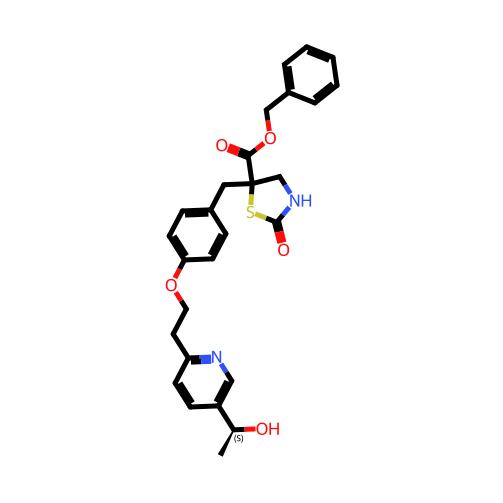 C[C@H](O)c1ccc(CCOc2ccc(CC3(C(=O)OCc4ccccc4)CNC(=O)S3)cc2)nc1